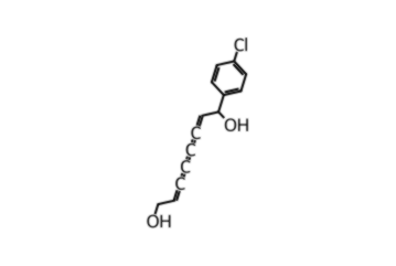 OCC=C=C=C=C=CC(O)c1ccc(Cl)cc1